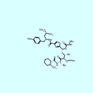 CCCCCCON(C(=O)[C@@H](NC(=O)[C@H]1CCCCN1C)[C@@H](C)CC)[C@H](C[C@@H](OC(=O)NCCCC)c1nc(C(=O)N[C@@H](Cc2ccc(O)cc2)C[C@H](C)C(=O)O)cs1)C(C)C